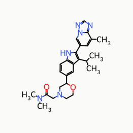 Cc1cc(-c2[nH]c3ccc(C4CN(CC(=O)N(C)C)CCO4)cc3c2C(C)C)cn2ncnc12